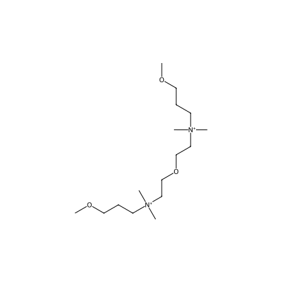 COCCC[N+](C)(C)CCOCC[N+](C)(C)CCCOC